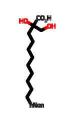 CCCCCCCCCCCCCCCCCCC(O)(CO)C(=O)O